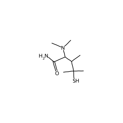 CC(C(C(N)=O)N(C)C)C(C)(C)S